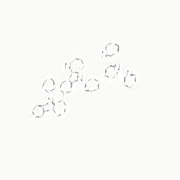 c1ccc(-n2c3ccccc3c3cccc(-c4ccc5c6ncccc6n(-c6cccc(-c7cc(-c8ccccn8)nc(-c8ccccn8)c7)c6)c5c4)c32)cc1